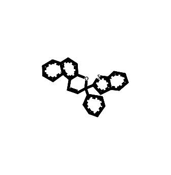 C1=CC(c2ccccc2)(c2cc3ccccc3s2)Oc2ccc3ccccc3c21